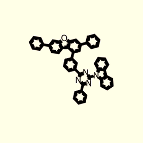 c1ccc(-c2ccc3c(c2)oc2cc(-c4ccccc4)cc(-c4cccc(-c5nc(-c6ccccc6)nc(-n6c7ccccc7c7ccccc76)n5)c4)c23)cc1